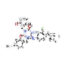 COC(=O)[C@@H](C)Cn1c(=O)[nH]/c(=N\c2ccc(C=C(C)C)c(F)c2)n(Cc2ccc(C)cc2)c1=O